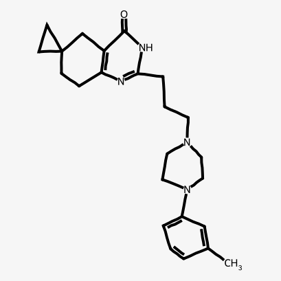 Cc1cccc(N2CCN(CCCc3nc4c(c(=O)[nH]3)CC3(CC4)CC3)CC2)c1